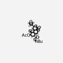 CCCCOC(=O)[C@@H]1C[C@H](OC(C)=O)C(=O)C2[C@@]1(C)CC[C@H]1C(=O)O[C@H](c3ccoc3)C[C@]21C